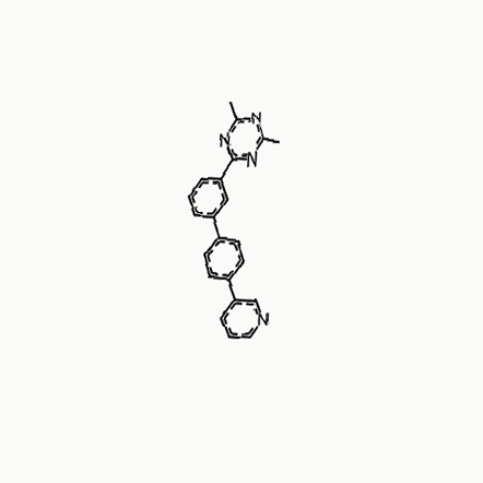 Cc1nc(C)nc(-c2cccc(-c3ccc(-c4cccnc4)cc3)c2)n1